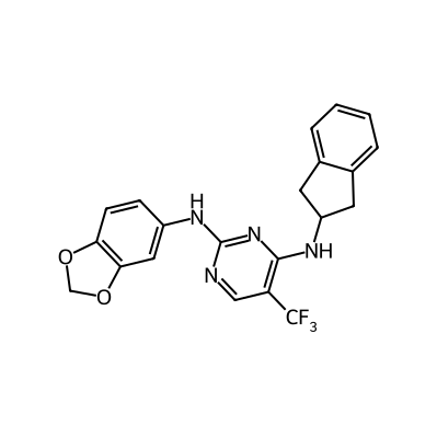 FC(F)(F)c1cnc(Nc2ccc3c(c2)OCO3)nc1NC1Cc2ccccc2C1